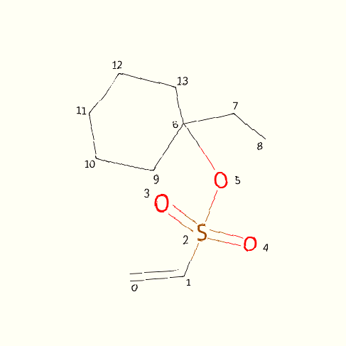 C=CS(=O)(=O)OC1(CC)CCCCC1